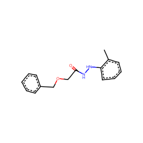 Cc1ccccc1NNC(=O)COCc1ccccc1